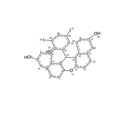 Oc1ccc2c3c(ccc2c1)Oc1ccc2cc(O)ccc2c1C3c1cc(I)cc(I)c1O